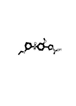 CCSc1cccc(S(=O)(=O)c2ccc(C3CCN(B(C)O)C3)c(OC)c2)c1